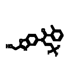 Cc1ccccc1C(=O)N(/C=C/C(F)(F)F)c1ccc2oc(CO)nc2c1